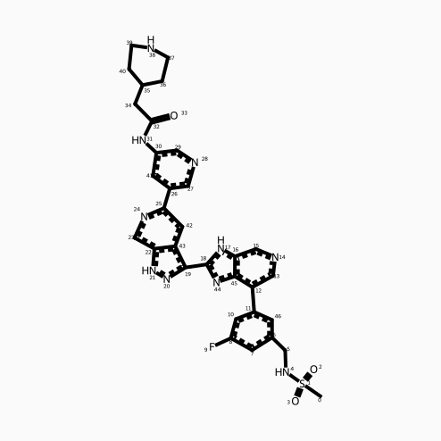 CS(=O)(=O)NCc1cc(F)cc(-c2cncc3[nH]c(-c4n[nH]c5cnc(-c6cncc(NC(=O)CC7CCNCC7)c6)cc45)nc23)c1